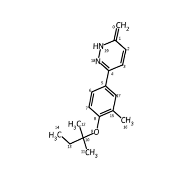 C=C1C=CC(c2ccc(OC(C)(C)CC)c(C)c2)=NN1